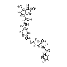 Cc1ccn(CC(=O)N2CCOC3(CCN(CCOc4ccc(CNC[C@H](O)c5ccc(O)c6[nH]c(=O)sc56)cc4)CC3)C2)n1